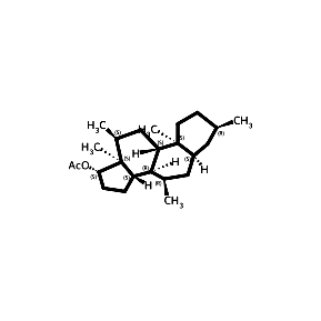 CC(=O)O[C@H]1CC[C@H]2[C@@H]3[C@H](C)C[C@@H]4C[C@H](C)CC[C@]4(C)[C@H]3C[C@H](C)[C@]12C